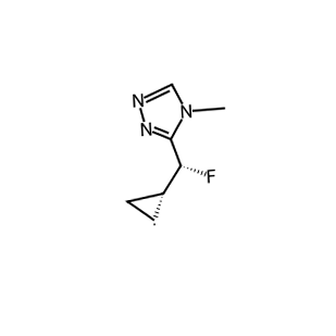 Cn1cnnc1[C@H](F)[C@@H]1[CH]C1